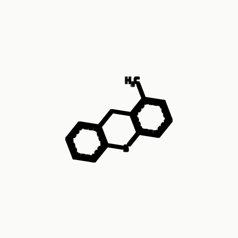 Cc1cccc2c1Cc1ccccc1S2